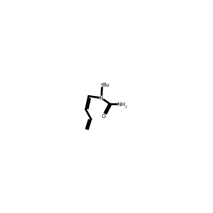 C=C/C=C\N(C(N)=O)C(C)(C)C